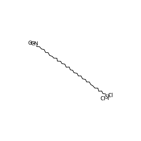 C[Si](Cl)(Cl)CCCCCCCCCCCCCCCCCCCCCCCCCCCCCCCCCCN=C=O